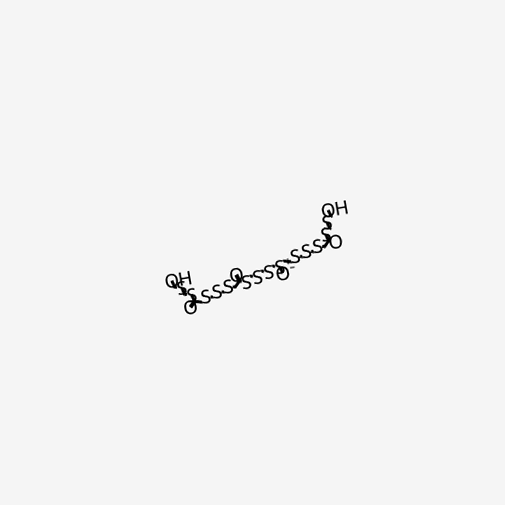 O=C(CSCSCSCC[S+]([O-])CSCSCSC(=O)CSCSCSCC(=O)SCSCO)SCSCO